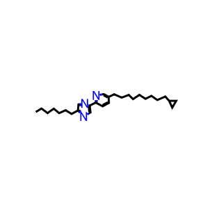 CCCCCCCc1cnc(-c2ccc(CCCCCCCCCC3CC3)cn2)cn1